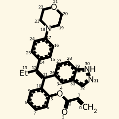 C=CC(=O)Oc1ccccc1/C(=C(\CC)c1ccc(N2CCOCC2)cc1)c1ccc2[nH]ncc2c1